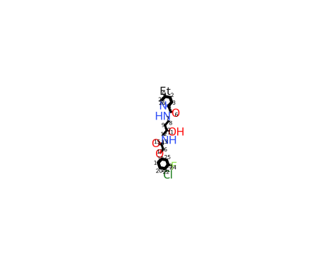 CCc1ccc(C(=O)NCC[C@H](O)CNC(=O)COc2ccc(Cl)c(F)c2)nc1